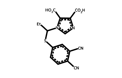 CCC(Sc1ccc(C#N)c(C#N)c1)n1cnc(C(=O)O)c1C(=O)O